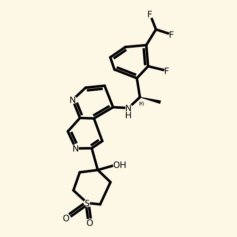 C[C@@H](Nc1ccnc2cnc(C3(O)CCS(=O)(=O)CC3)cc12)c1cccc(C(F)F)c1F